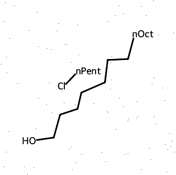 CCCCCCCCCCCCCCCO.CCCCCCl